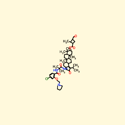 CC(C)C1=C2C3CCC4C(C)(CCC5C(C)(C)C(OC(=O)C6CC(C=O)C6C)CCC54C)C3CCC2(NC(=O)C(C)(C)NC(=O)c2ccc(Cl)cc2OCCN2CCCCC2)CC1=O